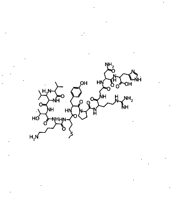 CSCCC(NC(=O)C(CCCCN)NC(=O)C(NC(=O)C(CC(C)C)NC(=O)C(N)C(C)C)C(C)O)C(=O)NC(Cc1ccc(O)cc1)C(=O)N1CCCC1C(=O)NC(CCCNC(=N)N)C(=O)NCC(=O)NC(CC(N)=O)C(=O)NC(Cc1c[nH]cn1)C(=O)O